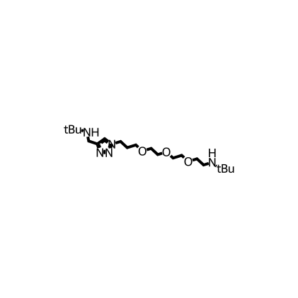 CC(C)(C)NCCOCCOCCOCCCn1cc(CNC(C)(C)C)nn1